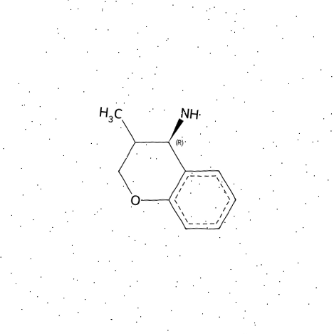 CC1COc2ccccc2[C@@H]1[NH]